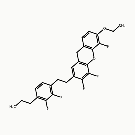 CCCc1ccc(CCc2cc3c(c(F)c2F)Oc2c(ccc(OCC)c2F)C3)c(F)c1F